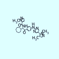 Cc1cnn(C)c1-c1cnc(Nc2ccc(C(=O)[C@@H](NC(=O)c3ccnn3C)C3CCCCCC3)cc2)nc1